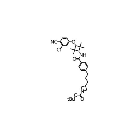 CC(C)(C)OC(=O)N1CC(CCCc2ccc(C(=O)N[C@H]3C(C)(C)[C@H](Oc4ccc(C#N)c(Cl)c4)C3(C)C)cc2)C1